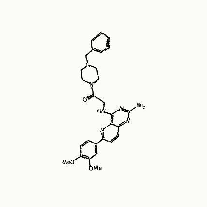 COc1ccc(-c2ccc3nc(N)nc(NCC(=O)N4CCN(Cc5ccccc5)CC4)c3n2)cc1OC